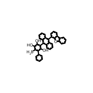 Bc1c(O)c(O)c(-c2c3ccccc3c(-c3cccc4c3oc3ccccc34)c3ccccc23)c(O)c1-c1ccccc1